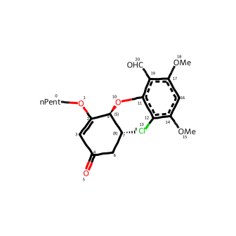 CCCCCOC1=CC(=O)C[C@@H](C)[C@@H]1Oc1c(Cl)c(OC)cc(OC)c1C=O